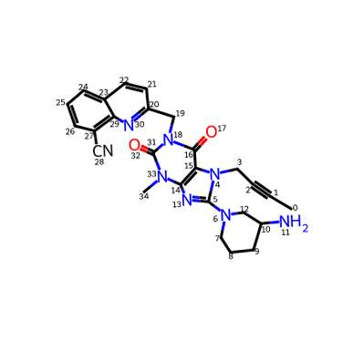 CC#CCn1c(N2CCCC(N)C2)nc2c1c(=O)n(Cc1ccc3cccc(C#N)c3n1)c(=O)n2C